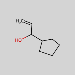 C=CC(O)C1CCCC1